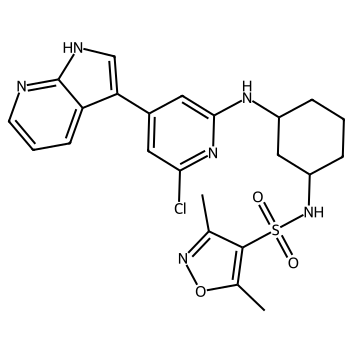 Cc1noc(C)c1S(=O)(=O)NC1CCCC(Nc2cc(-c3c[nH]c4ncccc34)cc(Cl)n2)C1